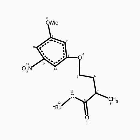 COc1cc(OCCC(C)C(=O)OC(C)(C)C)cc([N+](=O)[O-])c1